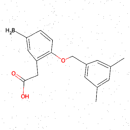 Bc1ccc(OCc2cc(C)cc(C)c2)c(CC(=O)O)c1